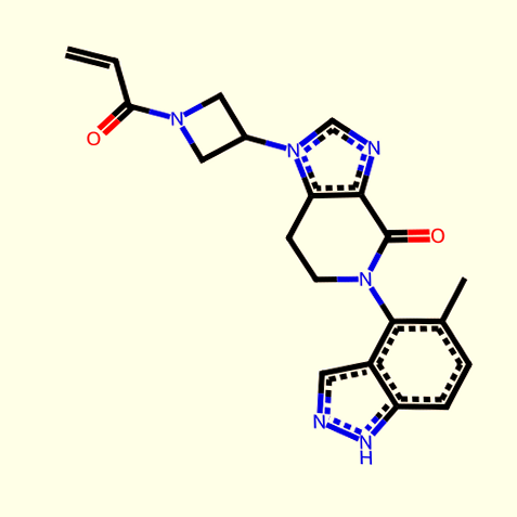 C=CC(=O)N1CC(n2cnc3c2CCN(c2c(C)ccc4[nH]ncc24)C3=O)C1